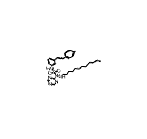 C(=Cc1ccccc1)c1ccccc1.CCCCCCCCCCCCNN(c1ncncn1)S(=O)(=O)O